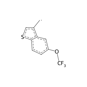 [CH2]c1csc2ccc(OC(F)(F)F)cc12